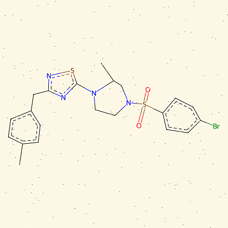 Cc1ccc(Cc2nsc(N3CCN(S(=O)(=O)c4ccc(Br)cc4)CC3C)n2)cc1